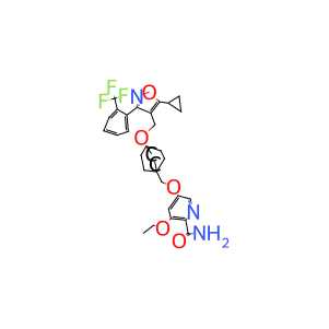 CCOc1cc(OCC23CCC(OCc4c(-c5ccccc5C(F)(F)F)noc4C4CC4)(CC2)CC3)cnc1C(N)=O